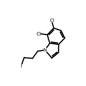 Clc1ccc2ccn(CCCI)c2c1Cl